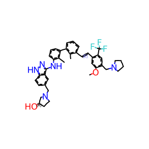 COc1cc(/C=C/c2cccc(-c3cccc(Nc4n[nH]c5ccc(CN6CC[C@@H](O)C6)cc45)c3C)c2C)c(C(F)(F)F)cc1CN1CCCC1